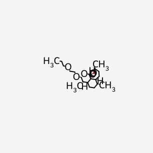 CCCOCCO[C@H]1O[C@@H]2O[C@@]3(C)CC[C@H]4[C@H](C)CC[C@@H]([C@H]1C)[C@@]24OO3